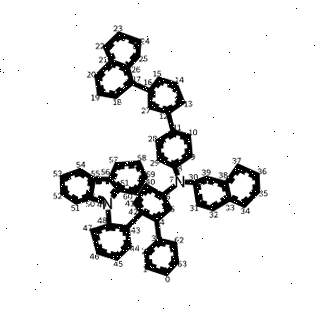 c1ccc(-c2cc(N(c3ccc(-c4cccc(-c5cccc6ccccc56)c4)cc3)c3ccc4ccccc4c3)ccc2-c2ccccc2-n2c3ccccc3c3ccccc32)cc1